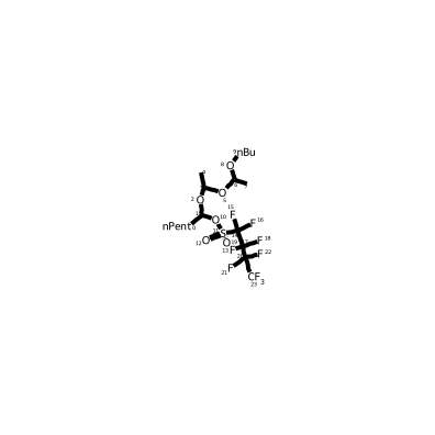 CCCCCC(OC(C)OC(C)OCCCC)OS(=O)(=O)C(F)(F)C(F)(F)C(F)(F)C(F)(F)F